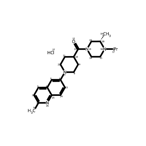 Cc1ccc2cc(N3CCC(C(=O)N4CCN(C(C)C)[C@@H](C)C4)CC3)ccc2n1.Cl